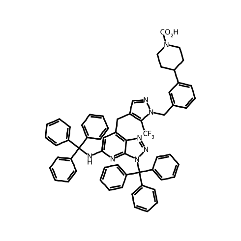 O=C(O)N1CCC(c2cccc(Cn3ncc(Cc4cc(NC(c5ccccc5)(c5ccccc5)c5ccccc5)nc5c4nnn5C(c4ccccc4)(c4ccccc4)c4ccccc4)c3C(F)(F)F)c2)CC1